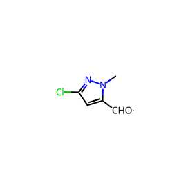 Cn1nc(Cl)cc1[C]=O